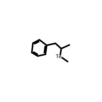 C[Te]C(C)Cc1ccccc1